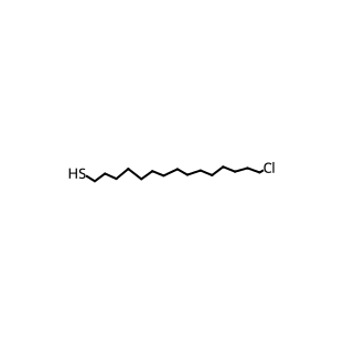 SCCCCCCCCCCCCCCCCl